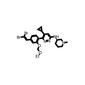 CCOCOc1cc(C=C(Br)Br)ccc1-c1nnc(N[C@@H]2CCCN(C)C2)cc1C1CC1